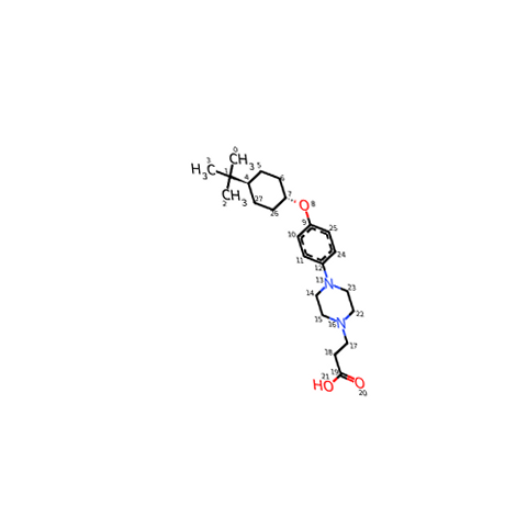 CC(C)(C)[C@H]1CC[C@H](Oc2ccc(N3CCN(CCC(=O)O)CC3)cc2)CC1